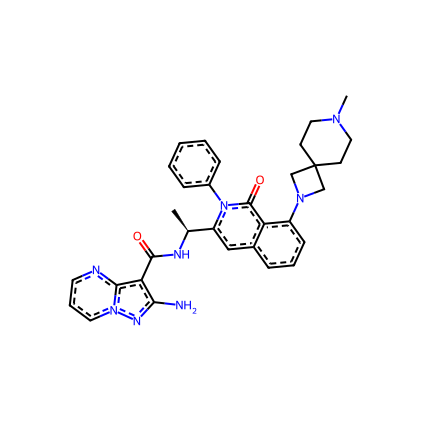 C[C@H](NC(=O)c1c(N)nn2cccnc12)c1cc2cccc(N3CC4(CCN(C)CC4)C3)c2c(=O)n1-c1ccccc1